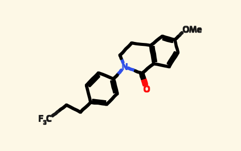 COc1ccc2c(c1)CCN(c1ccc(CCC(F)(F)F)cc1)C2=O